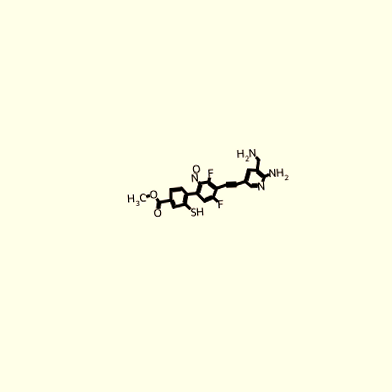 COC(=O)c1ccc(-c2cc(F)c(C#Cc3cnc(N)c(CN)c3)c(F)c2N=O)c(S)c1